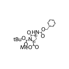 COC(=O)[C@@H]1C[C@H](NC(=O)OCc2ccccc2)C(=O)N1C(=O)OC(C)(C)C